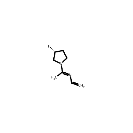 C=C/N=C(\C)N1CC[C@@H](F)C1